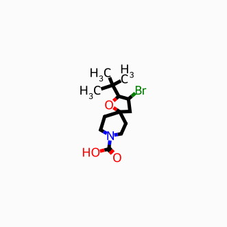 CC(C)(C)C1OC2(CCN(C(=O)O)CC2)CC1Br